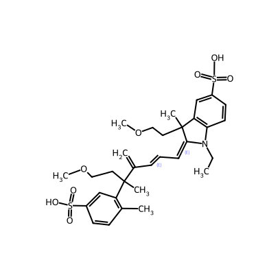 C=C(/C=C/C=C1/N(CC)c2ccc(S(=O)(=O)O)cc2C1(C)CCOC)C(C)(CCOC)c1cc(S(=O)(=O)O)ccc1C